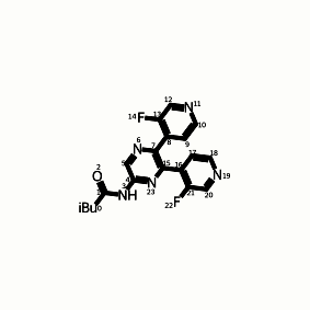 CCC(C)C(=O)Nc1cnc(-c2ccncc2F)c(-c2ccncc2F)n1